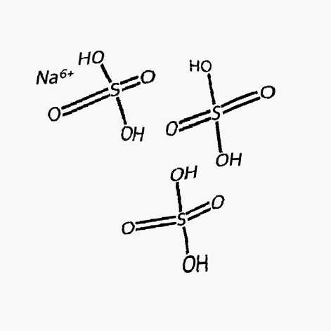 O=S(=O)(O)O.O=S(=O)(O)O.O=S(=O)(O)O.[Na+6]